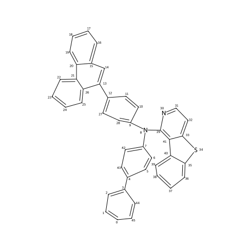 c1ccc(-c2ccc(N(c3ccc(-c4cc5ccccc5c5ccccc45)cc3)c3nccc4sc5ccccc5c34)cc2)cc1